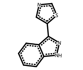 c1ccc2c(-c3cncs3)n[nH]c2c1